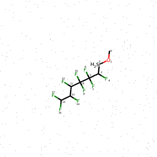 CO[SiH2]C(F)C(F)(F)C(F)(F)C(F)C(F)C(F)F